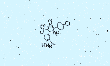 [C-]#[N+]C1=C(c2ccc(Cl)cc2)NC2=C(C(=O)OC2)C1c1ccc2[nH]nc(C)c2c1